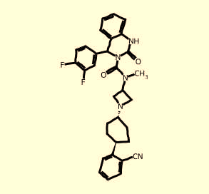 CN(C(=O)N1C(=O)Nc2ccccc2C1c1ccc(F)c(F)c1)C1CN([C@H]2CC[C@H](c3ccccc3C#N)CC2)C1